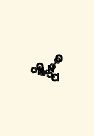 O=C(c1ccccc1)N1CCCC(CCN2CCC(C3CCOCC3)CC2)(c2ccc(Cl)cc2)C1